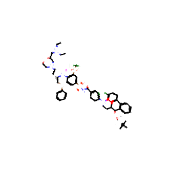 CCN(CC)CC1CN(CC[C@H](CSc2ccccc2)Nc2ccc(S(=O)(=O)NC(=O)c3ccc(N4CCC(C(O[Si](C)(C)C(C)(C)C)c5ccccc5-c5ccc(Cl)cc5)CC4)cc3)cc2S(=O)(=O)C(F)(F)F)CCO1